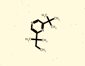 CCC(C)(C)c1cncc(C(C)(C)C)n1